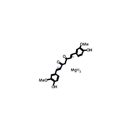 COc1cc(/C=C/C(=O)CC(=O)/C=C/c2ccc(O)c(OC)c2)ccc1O.[MgH2]